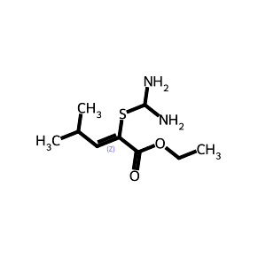 CCOC(=O)/C(=C/C(C)C)SC(N)N